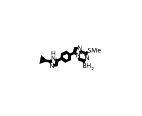 Bc1cn2c(-c3ccc(-c4cnc(C5CC5)[nH]4)cc3)cnc2c(SC)n1